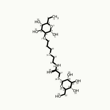 CCC1O[C@H](O)C(OCCCSCCNC(=N)CS[C@H]2OC(CO)[C@@H](O)C(O)[C@H]2O)[C@@H](O)[C@@H]1O